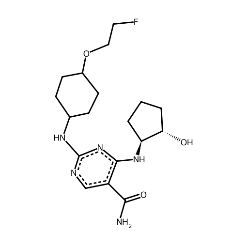 NC(=O)c1cnc(NC2CCC(OCCF)CC2)nc1N[C@H]1CCC[C@@H]1O